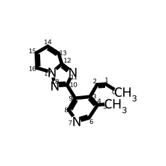 C/C=C\c1c(C)cncc1-c1nc2ccccn2n1